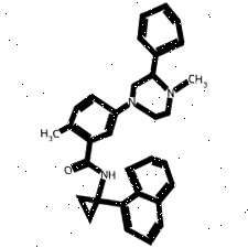 Cc1ccc(N2CCN(C)C(c3ccccc3)C2)cc1C(=O)NC1(c2cccc3ccccc23)CC1